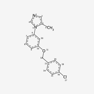 Cc1cncn1-c1cccc(OCc2ccc(Cl)cc2)c1